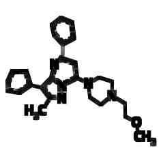 COCCN1CCN(c2cc(-c3ccccc3)nc3c(-c4ccccc4)c(C)nn23)CC1